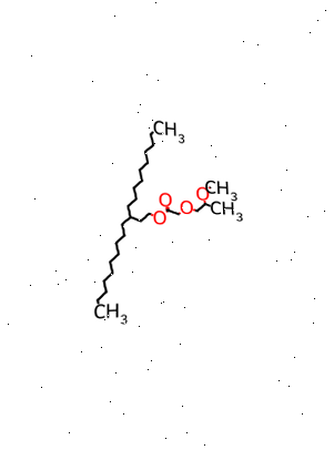 CCCCCCCCCCC(CCCCCCCCCC)CCOC(=O)COCC(C)OC